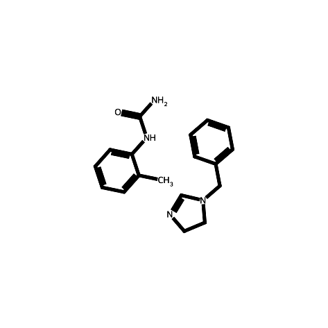 C1=NCCN1Cc1ccccc1.Cc1ccccc1NC(N)=O